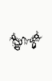 Fc1cc(Br)cc2c1N[C@@H](c1ccccc1)[C@@H]1CC[C@H](CNC[C@H]3CC[C@@H]4[C@H](O3)c3cc(Br)cc(F)c3N[C@H]4C3C=CC=CC3)O[C@H]21